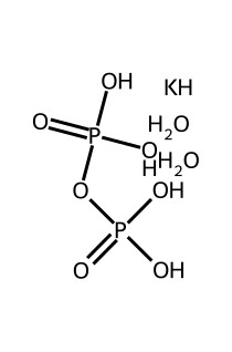 O.O.O=P(O)(O)OP(=O)(O)O.[KH]